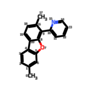 Cc1ccc2c(c1)oc1c(-c3ccccn3)c(C)ccc12